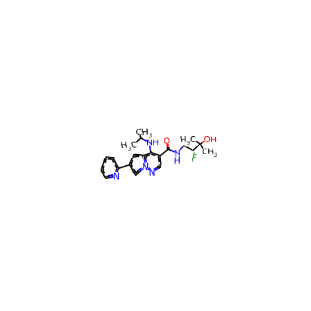 CC(C)Nc1c(C(=O)NC[C@@H](F)C(C)(C)O)cnn2cc(-c3ccccn3)cc12